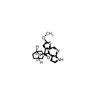 COc1cc(C(=O)N2[C@@H]3CC[C@H]2CN(c2ncnc4[nH]ccc24)C3)cs1